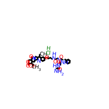 CCc1c2c(nc3ccc(OCCCNC(=O)CNC(=O)[C@H](Cc4ccccc4)NC(=O)CNC(=O)CN)cc13)-c1cc3c(c(=O)n1C2)COC(=O)[C@]3(O)CC.Cl